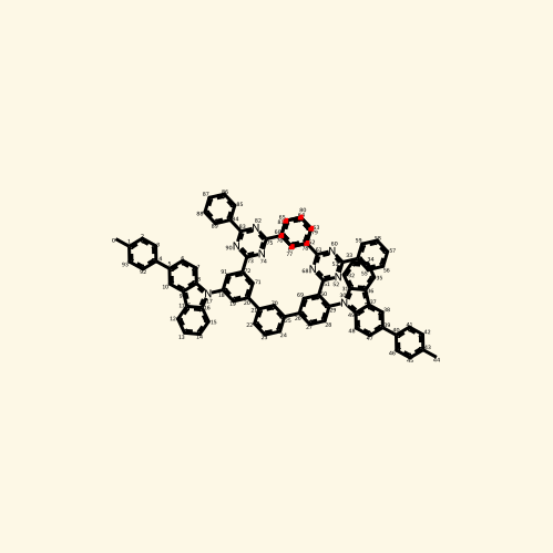 Cc1ccc(-c2ccc3c(c2)c2ccccc2n3-c2cc(-c3cccc(-c4ccc(-n5c6ccccc6c6cc(-c7ccc(C)cc7)ccc65)c(-c5nc(-c6ccccc6)nc(-c6ccccc6)n5)c4)c3)cc(-c3nc(-c4ccccc4)nc(-c4ccccc4)n3)c2)cc1